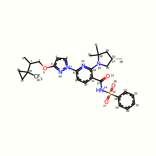 CC(COc1ccn(-c2ccc(C(=O)NS(=O)(=O)c3ccccc3)c(N3C[C@@H](C)CC3(C)C)n2)n1)C1(C(F)(F)F)CC1